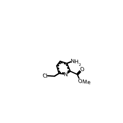 COC(=O)c1nc(CCl)ccc1N